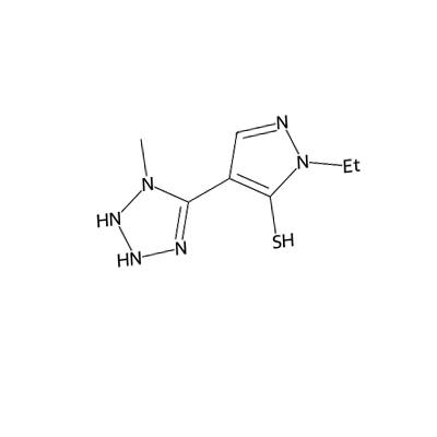 CCn1ncc(C2=NNNN2C)c1S